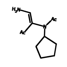 CC(=O)/C(=C\N)N(C(C)=O)C1CCCC1